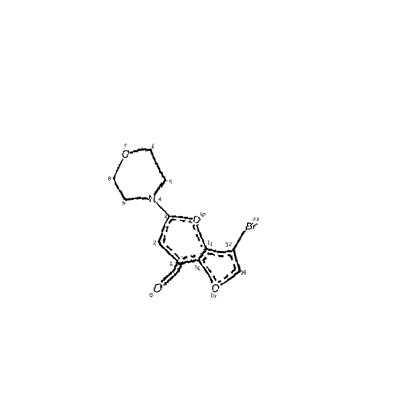 O=c1cc(N2CCOCC2)oc2c(Br)coc12